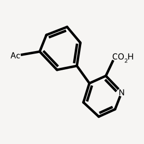 CC(=O)c1cccc(-c2cccnc2C(=O)O)c1